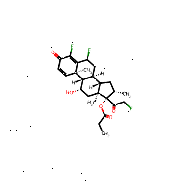 CCC(=O)O[C@@]1(C(=O)CF)[C@@H](C)C[C@H]2[C@@H]3C[C@H](F)C4=C(F)C(=O)C=C[C@]4(C)[C@H]3[C@@H](O)C[C@@]21C